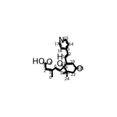 CC(=C/C(=O)O)/C=C/[C@@]1(O)C(/C=C/c2ccncc2)=CC(=O)CC1(C)C